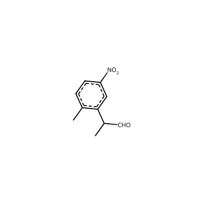 Cc1ccc([N+](=O)[O-])cc1C(C)C=O